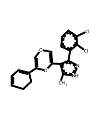 Cc1[nH]nc(-c2cccc(Cl)c2Cl)c1C1=COC=C(C2=CC=CCC2)O1